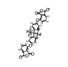 O=C1OC(=O)c2c(Oc3ccc(C(c4ccc(Oc5cccc6c5C(=O)OC6=O)cc4)(C(F)(F)F)C(F)(F)F)cc3)cccc21